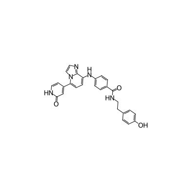 O=C(NCCc1ccc(O)cc1)c1ccc(Nc2ccc(-c3cc[nH]c(=O)c3)n3ccnc23)cc1